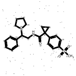 CS(=O)(=O)c1ccc(C2(C(=O)NCC(c3ccccc3)N3CCCC3)CC2)cc1